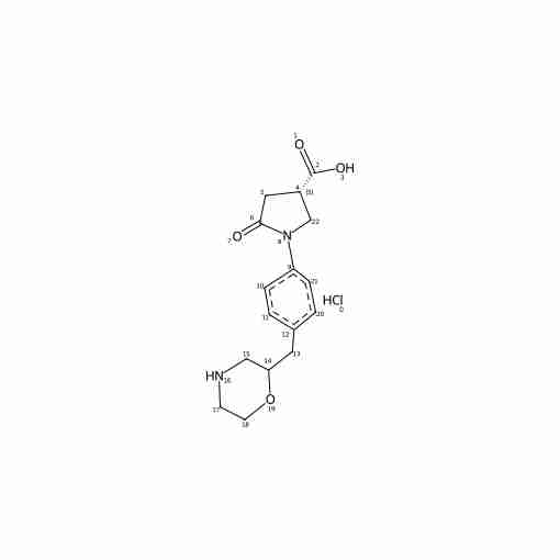 Cl.O=C(O)[C@H]1CC(=O)N(c2ccc(CC3CNCCO3)cc2)C1